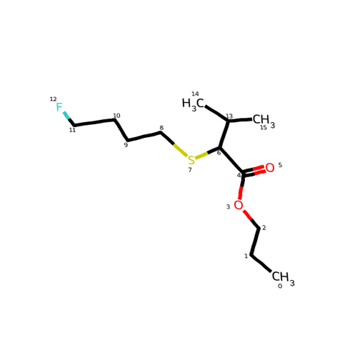 CCCOC(=O)C(SCCCCF)C(C)C